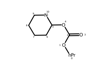 CCCOC(=O)OC1CCCC[N]1